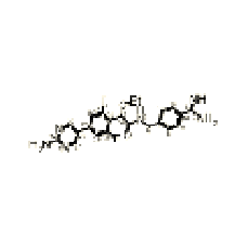 CCO[C@H](C(=O)NCc1ccc(C(=N)N)cc1)c1c(F)cc(-c2cnc(N)nc2)cc1F